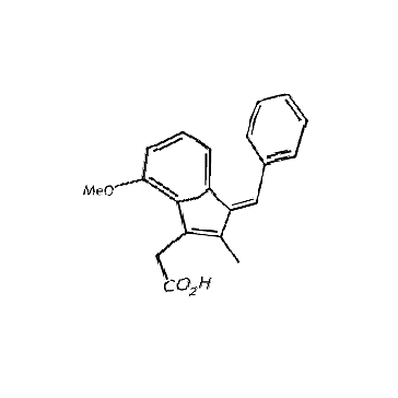 COc1cccc2c1C(CC(=O)O)=C(C)/C2=C/c1ccccc1